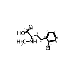 CN[C@@H](CCc1ccccc1Cl)C(=O)O